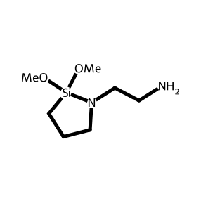 CO[Si]1(OC)CCCN1CCN